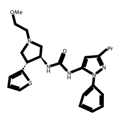 COCCN1C[C@@H](NC(=O)Nc2cc(C(C)C)nn2-c2ccccc2)[C@H](c2cccs2)C1